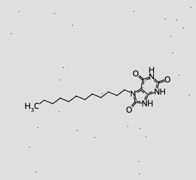 CCCCCCCCCCCCn1c(=O)[nH]c2[nH]c(=O)[nH]c(=O)c21